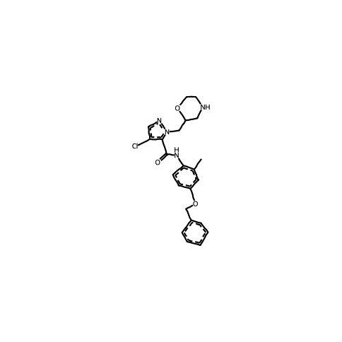 Cc1cc(OCc2ccccc2)ccc1NC(=O)c1c(Cl)cnn1CC1CNCCO1